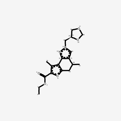 CCOC(=O)c1oc2c(c1C)-c1nn(C[C@H]3COCO3)cc1C(C)C2